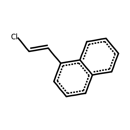 ClC=Cc1cccc2ccccc12